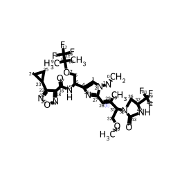 C=Nn1cc(C(COC(C)(C)C(F)(F)F)NC(=O)c2nonc2C2CC2)nc1/C=C(\C)C(COC)N1CC(C(F)(F)F)NC1=O